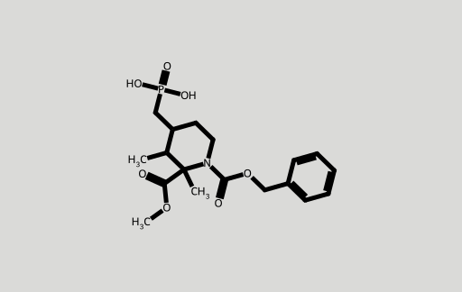 COC(=O)C1(C)C(C)C(CP(=O)(O)O)CCN1C(=O)OCc1ccccc1